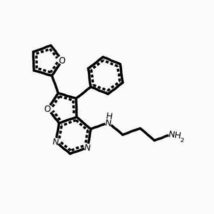 NCCCNc1ncnc2oc(-c3ccco3)c(-c3ccccc3)c12